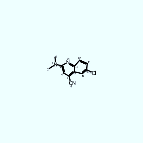 CN(C)c1cc(C#N)c2cc(Cl)ccc2n1